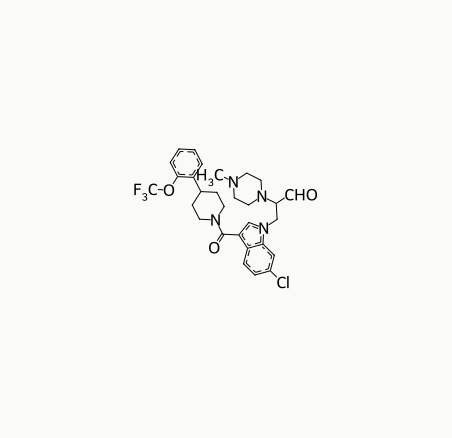 CN1CCN(C(C=O)Cn2cc(C(=O)N3CCC(c4ccccc4OC(F)(F)F)CC3)c3ccc(Cl)cc32)CC1